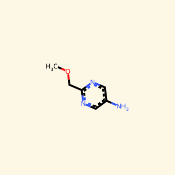 COCc1ncc(N)cn1